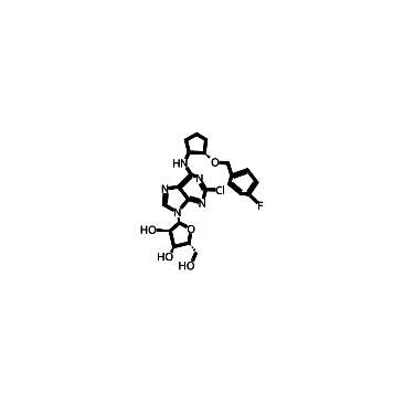 OC[C@H]1O[C@@H](n2cnc3c(NC4CCC[C@@H]4OCc4ccc(F)cc4)nc(Cl)nc32)[C@H](O)[C@@H]1O